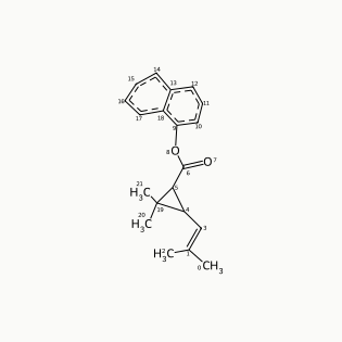 CC(C)=CC1C(C(=O)Oc2cccc3ccccc23)C1(C)C